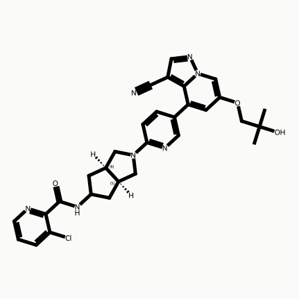 CC(C)(O)COc1cc(-c2ccc(N3C[C@H]4CC(NC(=O)c5ncccc5Cl)C[C@H]4C3)nc2)c2c(C#N)cnn2c1